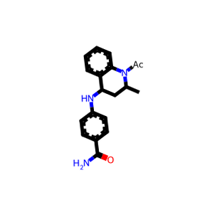 CC(=O)N1c2ccccc2C(Nc2ccc(C(N)=O)cc2)CC1C